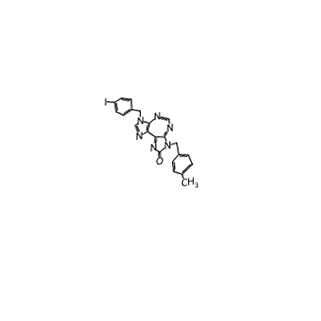 Cc1ccc(Cn2c3ncnc4c(ncn4Cc4ccc(I)cc4)c-3nc2=O)cc1